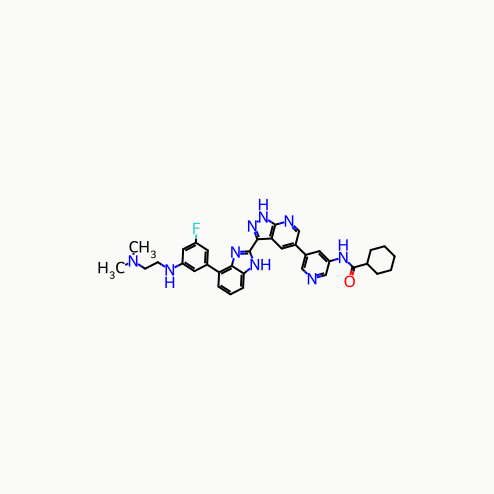 CN(C)CCNc1cc(F)cc(-c2cccc3[nH]c(-c4n[nH]c5ncc(-c6cncc(NC(=O)C7CCCCC7)c6)cc45)nc23)c1